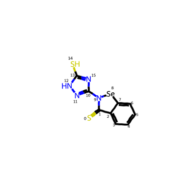 S=c1c2ccccc2[se]n1-c1n[nH]c(S)n1